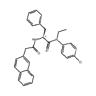 CCN(C(=O)[C@H](Cc1ccccc1)NC(=O)Cc1ccc2ccccc2c1)c1ccc(Cl)cc1